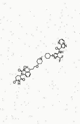 Cn1c(=O)n(C2CCC(=O)NC2=O)c2cccc(CCCOC3CCN(C[C@H]4CC[C@H](n5cc(NC(=O)c6cnn7cccnc67)c(C(F)F)n5)CC4)CC3)c21